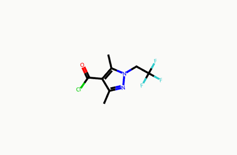 Cc1nn(CC(F)(F)F)c(C)c1C(=O)Cl